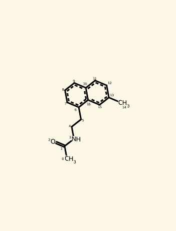 CC(=O)NCCc1cccc2ccc(C)cc12